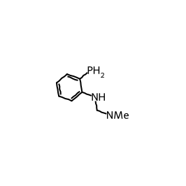 CNCNc1ccccc1P